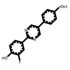 CCCCCCCCc1ccc(-c2cnc(-c3ccc(O)c(F)c3)nc2)cc1